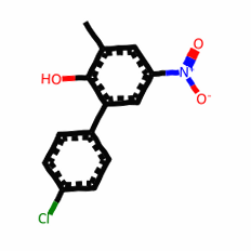 Cc1cc([N+](=O)[O-])cc(-c2ccc(Cl)cc2)c1O